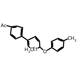 C/C=C(\C=C/C(CC)Oc1ccc(C)cc1)c1ccc(C(C)=O)cc1